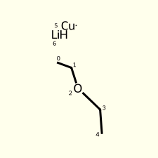 CCOCC.[Cu].[LiH]